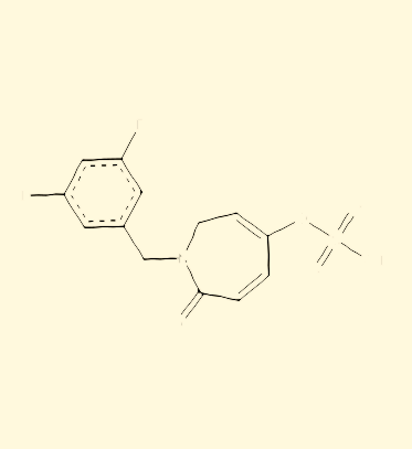 CS(=O)(=O)OC1=CCN(Cc2cc(F)cc(F)c2)C(=O)C=C1